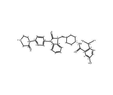 O=C(N[C@H]1CC[C@H](Cn2c(=O)n(-c3ccc(N4CCOCC4=O)nc3)c3ccccc32)CC1)c1cc(Cl)cnc1C(F)F